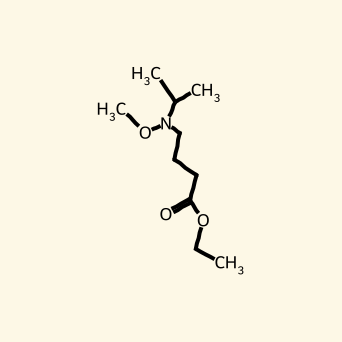 CCOC(=O)CCCN(OC)C(C)C